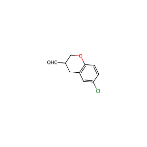 O=CC1COc2ccc(Cl)cc2C1